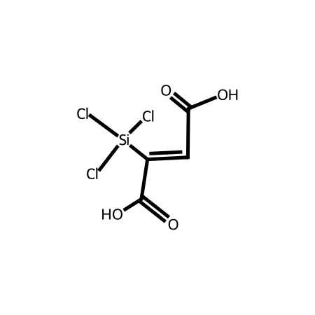 O=C(O)C=C(C(=O)O)[Si](Cl)(Cl)Cl